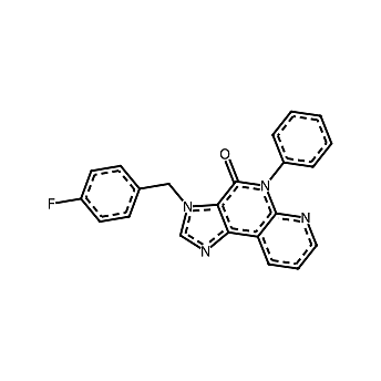 O=c1c2c(ncn2Cc2ccc(F)cc2)c2cccnc2n1-c1ccccc1